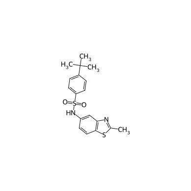 Cc1nc2cc(NS(=O)(=O)c3ccc(C(C)(C)C)cc3)ccc2s1